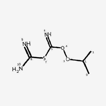 CC(C)OOC(=N)SC(=N)N